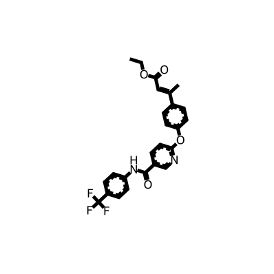 CCOC(=O)C=C(C)c1ccc(Oc2ccc(C(=O)Nc3ccc(C(F)(F)F)cc3)cn2)cc1